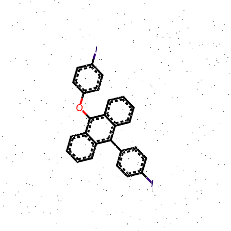 Ic1ccc(Oc2c3ccccc3c(-c3ccc(I)cc3)c3ccccc23)cc1